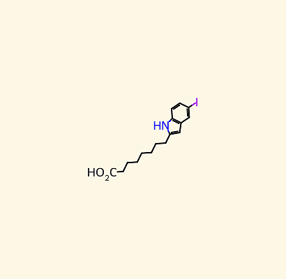 O=C(O)CCCCCCCc1cc2cc(I)ccc2[nH]1